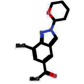 COC(=O)c1cc(OC)c2nn(C3CCCCO3)cc2c1